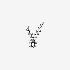 CCCCCCCCCC(CCCCCC)C(C)(C)c1ccccc1